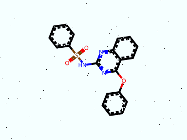 O=S(=O)(Nc1nc(Oc2ccccc2)c2ccccc2n1)c1ccccc1